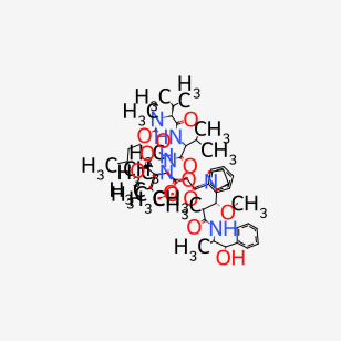 CC[C@H](C)[C@@H]([C@@H](CC(=O)N1CCC[C@H]1[C@H](OC)[C@@H](C)C(=O)N[C@H](C)[C@@H](O)c1ccccc1)OC)N(C)C(=O)[C@@H](NC(=O)[C@H](C(C)C)N(C)C(=O)OC(CC(C)C)OC(=O)[C@@H](NC(=O)OCc1ccccc1)C(C)C)C(C)C